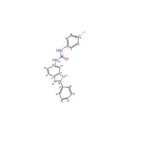 O=C(Nc1ccc(F)cc1)Nc1ccc2nc(-c3ccccc3)oc2c1